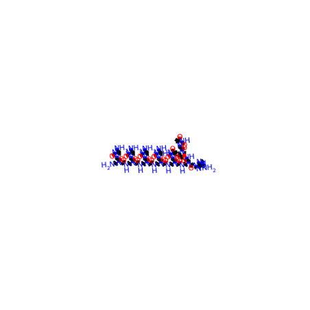 Cc1cn(CC(=O)N(CCNC(=O)CN(CCNC(=O)CN(CCNC(=O)CN(CCNC(=O)CN(CCN)C(=O)Cn2ccc(N)nc2=O)C(=O)Cn2ccc(N)nc2=O)C(=O)Cn2ccc(N)nc2=O)C(=O)Cn2ccc(N)nc2=O)CC(=O)NCCN(CC(=O)NCCN(CC(=O)C(C)C)C(=O)Cn2cc(C)c(=O)[nH]c2=O)C(=O)Cn2cnc3c(N)ncnc32)c(=O)[nH]c1=O